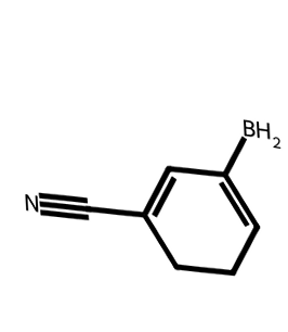 BC1=CCCC(C#N)=C1